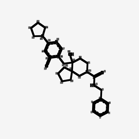 O=C(NCc1ccccc1)N1CCC(O)(Cn2cnc(N3CCCC3)cc2=O)C2(CCCC2)C1